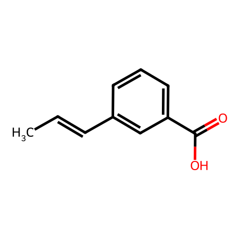 CC=Cc1cccc(C(=O)O)c1